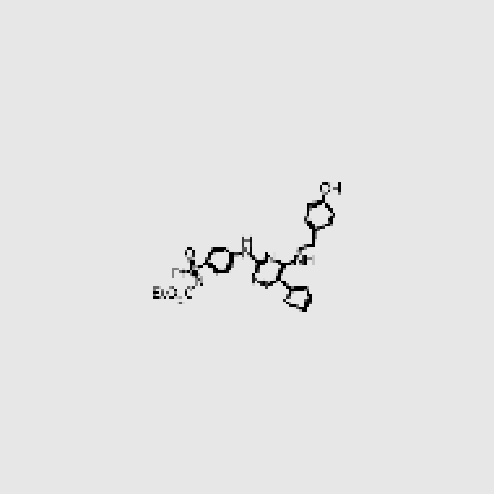 CCOC(=O)N=S(=O)(CC)c1ccc(Nc2ncc(-c3cccs3)c(NCCc3ccc(O)cc3)n2)cc1